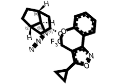 [N-]=[N+]=N[C@@H]1[C@@H]2CC[C@H]1C[C@@H](OCc1c(-c3ccccc3OC(F)(F)F)noc1C1CC1)C2